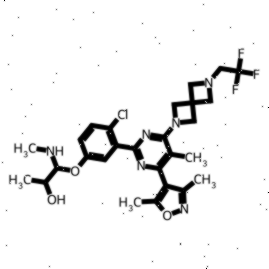 CNC(Oc1ccc(Cl)c(-c2nc(-c3c(C)noc3C)c(C)c(N3CC4(CN(CC(F)(F)F)C4)C3)n2)c1)C(C)O